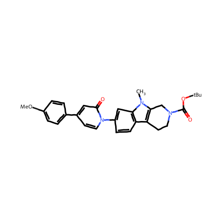 COc1ccc(-c2ccn(-c3ccc4c5c(n(C)c4c3)CN(C(=O)OC(C)(C)C)CC5)c(=O)c2)cc1